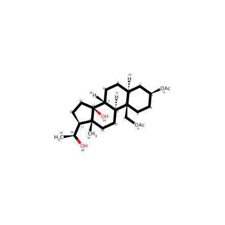 CC(=O)OC[C@]12CC[C@H](OC(C)=O)C[C@@H]1CC[C@@H]1[C@@H]2CC[C@]2(C)[C@@H]([C@H](C)O)CC[C@]12O